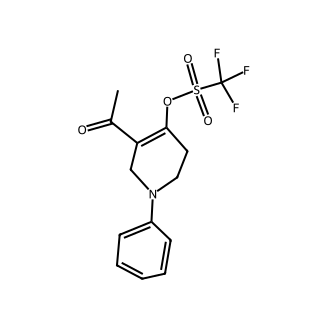 CC(=O)C1=C(OS(=O)(=O)C(F)(F)F)CCN(c2ccccc2)C1